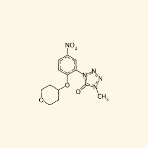 Cn1nnn(-c2cc([N+](=O)[O-])ccc2OC2CCOCC2)c1=O